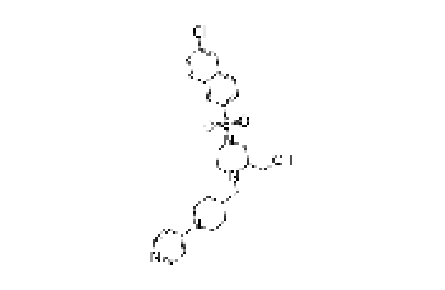 O=S(=O)(c1ccc2cc(Cl)ccc2c1)N1CCN(CC2CCN(c3ccncc3)CC2)C(CO)C1